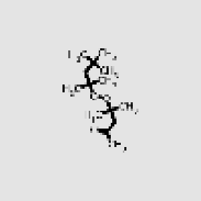 CC(=O)CC(C)(C)OOC(C)(C)CC(C)(C)C